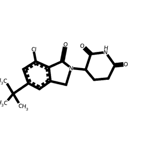 CC(C)(C)c1cc(Cl)c2c(c1)CN(C1CCC(=O)NC1=O)C2=O